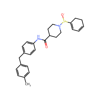 Cc1ccc(Cc2ccc(NC(=O)C3CCN([S+]([O-])C4=CC=CCC4)CC3)cc2)cc1